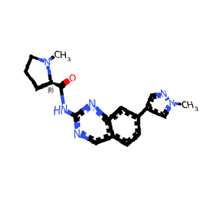 CN1CCC[C@@H]1C(=O)Nc1ncc2ccc(-c3cnn(C)c3)cc2n1